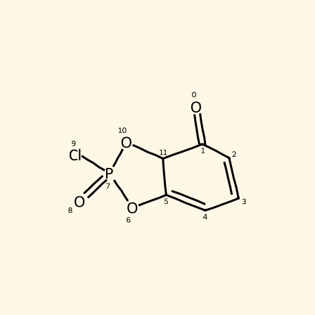 O=C1C=CC=C2OP(=O)(Cl)OC12